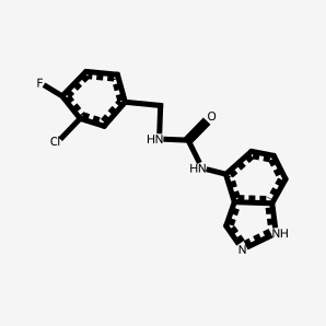 O=C(NCc1ccc(F)c(Cl)c1)Nc1cccc2[nH]ncc12